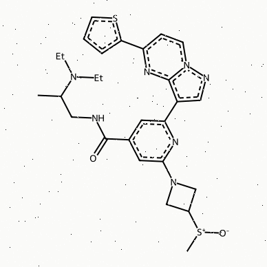 CCN(CC)C(C)CNC(=O)c1cc(-c2cnn3ccc(-c4cccs4)nc23)nc(N2CC([S+](C)[O-])C2)c1